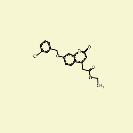 CCOC(=O)Cc1cc(=O)oc2cc(OCc3cccc(Cl)c3)ccc12